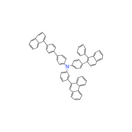 c1ccc(-c2c(-c3ccc(N(c4ccc(-c5ccc(-c6cccc7ccccc67)cc5)cc4)c4cccc(-c5cc6ccccc6c6ccccc56)c4)cc3)ccc3ccccc23)cc1